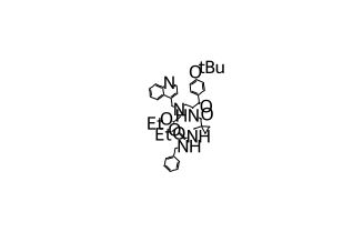 CCOC(CN(Cc1ccnc2ccccc12)CC(NC(=O)C1(CNC(=O)NCc2ccccc2)CC1)C(=O)c1ccc(OC(C)(C)C)cc1)OCC